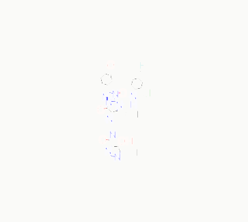 CCc1c(N2CCC3C2CCCN3C(=O)c2ncnc(C)c2O)c(=O)n2nc(-c3ccc4c(c3)COC4)nc2n1CC(=O)Nc1ccc(C(F)(F)F)cc1Cl